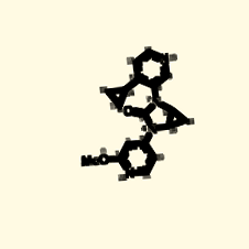 COc1cc(N2C(=O)N(c3cnccc3C3CC3)C3CC32)ccn1